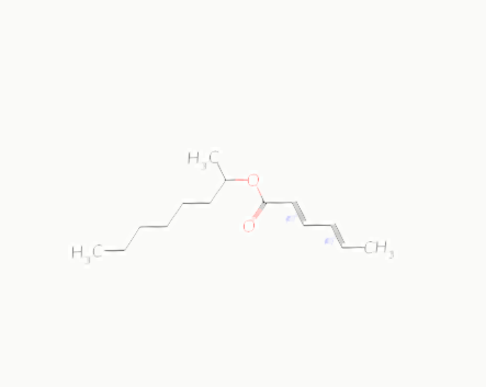 C/C=C/C=C/C(=O)OC(C)CCCCCC